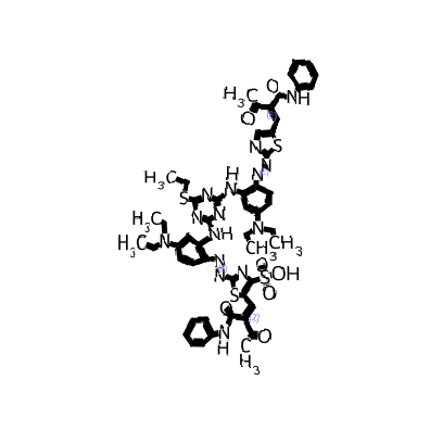 CCSc1nc(Nc2cc(N(CC)CC)ccc2/N=N/c2ncc(/C=C(\C(C)=O)C(=O)Nc3ccccc3)s2)nc(Nc2cc(N(CC)CC)ccc2/N=N/c2nc(S(=O)(=O)O)c(/C=C(/C(C)=O)C(=O)Nc3ccccc3)s2)n1